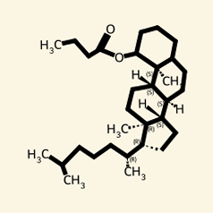 CCCC(=O)OC1CCCC2CC[C@@H]3[C@H](CC[C@]4(C)[C@@H]([C@H](C)CCCC(C)C)CC[C@@H]34)[C@]21C